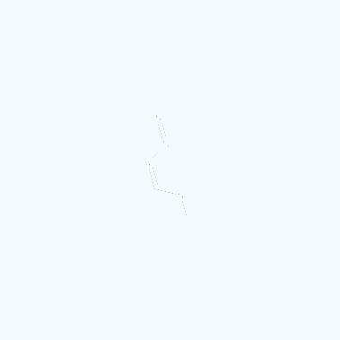 CCN/C=N\N=N